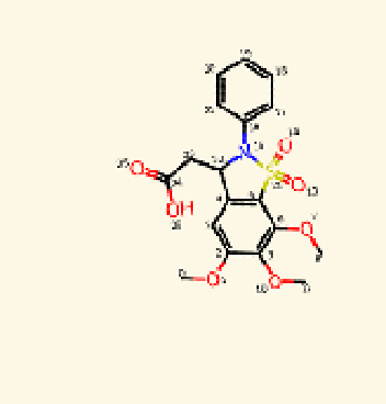 COc1cc2c(c(OC)c1OC)S(=O)(=O)N(c1ccccc1)C2CC(=O)O